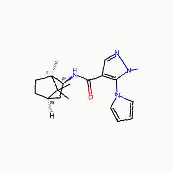 Cn1ncc(C(=O)N[C@H]2C[C@H]3CC[C@]2(C)C3(C)C)c1-n1cccc1